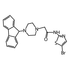 O=C(CN1CCN(C2c3ccccc3-c3ccccc32)CC1)Nc1ncc(Br)s1